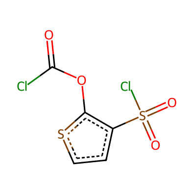 O=C(Cl)Oc1sccc1S(=O)(=O)Cl